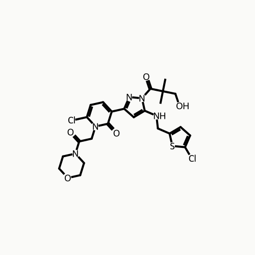 CC(C)(CO)C(=O)n1nc(-c2ccc(Cl)n(CC(=O)N3CCOCC3)c2=O)cc1NCc1ccc(Cl)s1